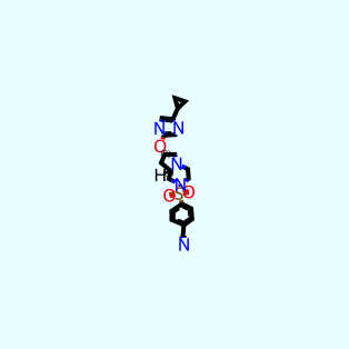 N#Cc1ccc(S(=O)(=O)N2CCN3C[C@H](Oc4cnc(C5CC5)cn4)C[C@H]3C2)cc1